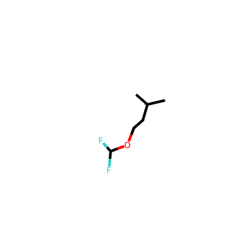 C[C](C)CCOC(F)F